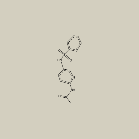 CC(=O)Nc1ccc(NS(=O)(=O)c2ccccc2)cn1